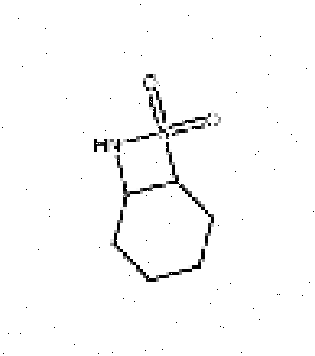 O=S1(=O)NC2CCCCC21